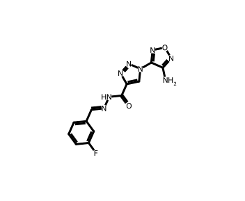 Nc1nonc1-n1cc(C(=O)N/N=C/c2cccc(F)c2)nn1